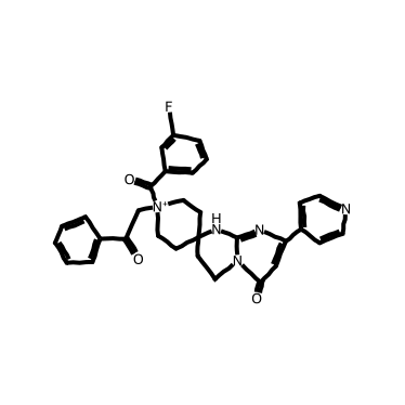 O=C(C[N+]1(C(=O)c2cccc(F)c2)CCC2(CCn3c(nc(-c4ccncc4)cc3=O)N2)CC1)c1ccccc1